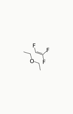 CCOCC.FC=C(F)F